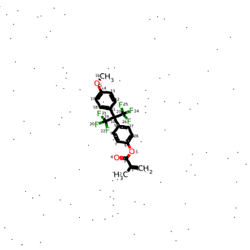 C=C(C)C(=O)Oc1ccc(C(c2ccc(OC)cc2)(C(F)(F)F)C(F)(F)F)cc1